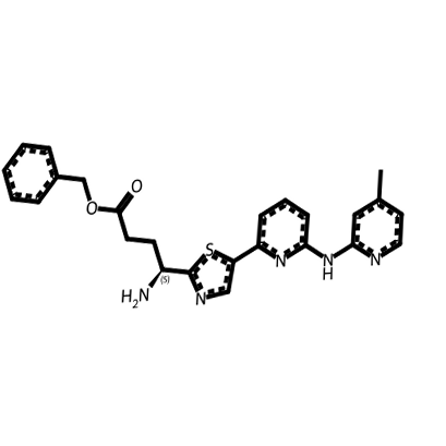 Cc1ccnc(Nc2cccc(-c3cnc([C@@H](N)CCC(=O)OCc4ccccc4)s3)n2)c1